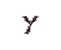 CC1(C)CC(N2C(=O)c3ccc(C(=O)OCCN(CCOC(=O)c4ccc5c(c4)C(=O)N(C4CC(C)(C)NC(C)(C)C4)C5=O)CCOC(=O)c4ccc5c(c4)C(=O)N(C4CC(C)(C)NC(C)(C)C4)C5=O)cc3C2=O)CC(C)(C)N1